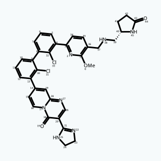 COc1nc(-c2cccc(-c3cccc(-c4ccn5c(=O)c(C6=NCCN6)cnc5c4)c3Cl)c2Cl)ccc1CNC[C@@H]1CCC(=O)N1